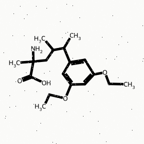 CCOc1cc(OCC)cc(C(C)C(C)CC(C)(N)C(=O)O)c1